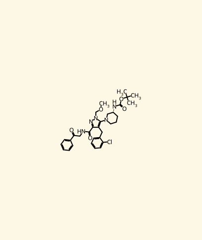 COCn1nc(C(=O)NCC(=O)c2ccccc2)c(Cc2ccccc2Cl)c1N1CCC[C@@H](NC(=O)OC(C)(C)C)C1